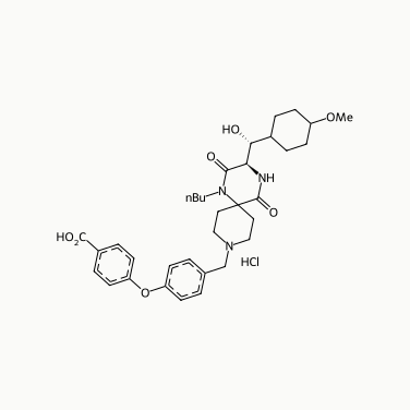 CCCCN1C(=O)[C@@H]([C@H](O)C2CCC(OC)CC2)NC(=O)C12CCN(Cc1ccc(Oc3ccc(C(=O)O)cc3)cc1)CC2.Cl